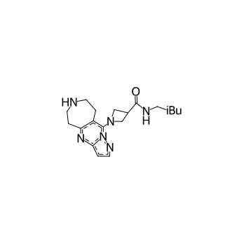 CCC(C)CNC(=O)C1CN(c2c3c(nc4ccnn24)CCNCC3)C1